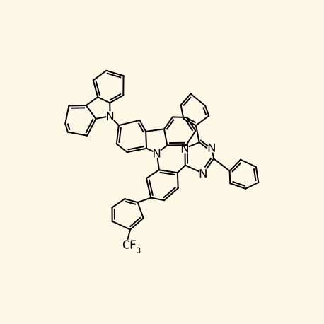 FC(F)(F)c1cccc(-c2ccc(-c3nc(-c4ccccc4)nc(-c4ccccc4)n3)c(-n3c4ccccc4c4cc(-n5c6ccccc6c6ccccc65)ccc43)c2)c1